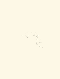 COc1ccc(Nc2nnc(-c3ccc(C(=O)O)cc3)o2)cc1